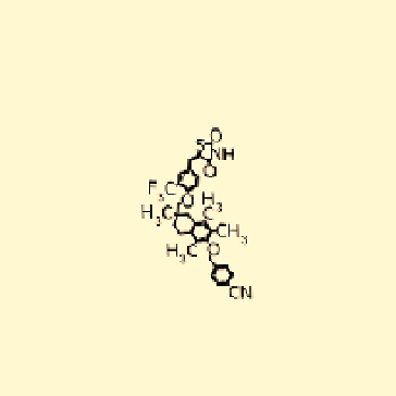 Cc1c(C)c(OCc2ccc(C#N)cc2)c(C)c2c1CC(C)(COc1ccc(C=C3SC(=O)NC3=O)cc1C(F)(F)F)CC2